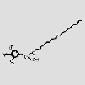 CCCCCCCCCCCCCCCCCCOC[C@H](CO)OCc1cc(OC)c(C#N)c(OC)c1